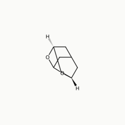 C1C2C[C@H]3C[C@H](C2)OC1O3